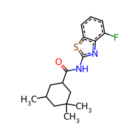 CC1CC(C(=O)Nc2nc3c(F)cccc3s2)CC(C)(C)C1